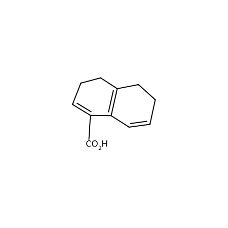 O=C(O)C1=CCCC2=C1C=CCC2